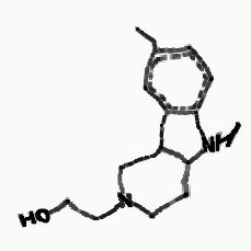 Cc1ccc2c(c1)C1CN(CCO)CCC1N2